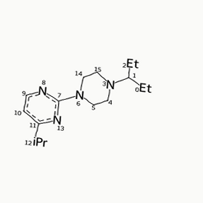 CCC(CC)N1CCN(c2nccc(C(C)C)n2)CC1